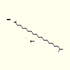 C=COC(=O)CCCCCCCCCCCCCCCCC(C)C.CC(=O)O